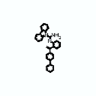 C=C(c1ccc(-c2ccccc2)cc1)c1ccccc1/N=C(\N)n1c2ccccc2c2ccccc21